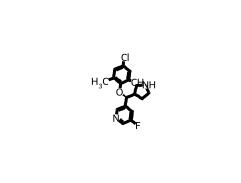 Cc1cc(Cl)cc(C)c1O[C@H](c1cncc(F)c1)C1CCNC1